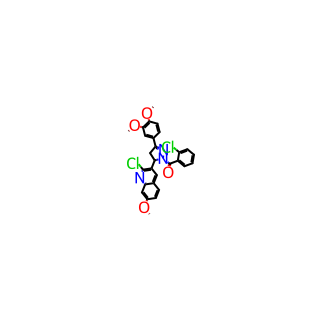 COc1ccc2cc(C3CC(c4ccc(OC)c(OC)c4)=NN3C(=O)c3ccccc3Cl)c(Cl)nc2c1